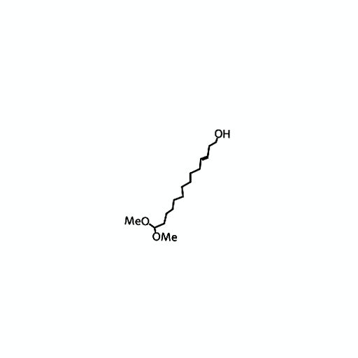 COC(CCCCCCCCC/C=C/CCO)OC